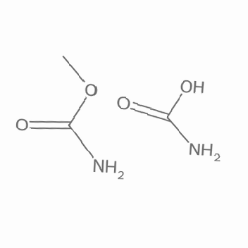 COC(N)=O.NC(=O)O